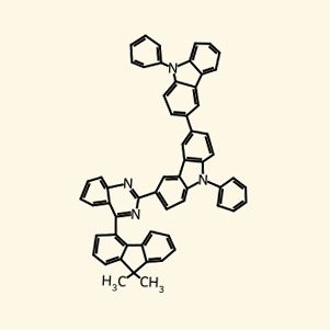 CC1(C)c2ccccc2-c2c(-c3nc(-c4ccc5c(c4)c4cc(-c6ccc7c(c6)c6ccccc6n7-c6ccccc6)ccc4n5-c4ccccc4)nc4ccccc34)cccc21